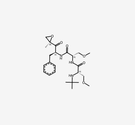 COC[C@H](NC(=O)[C@H](COC)NC(C)(C)C)C(=O)N[C@@H](Cc1ccccc1)C(=O)[C@@]1(C)CO1